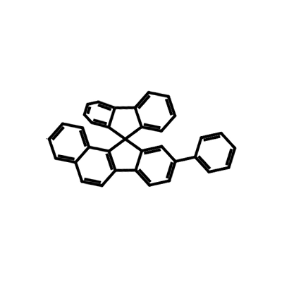 [c]1ccc2c3c(ccc2c1)-c1ccc(-c2ccccc2)cc1C31c2ccccc2-c2ccccc21